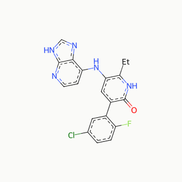 CCc1[nH]c(=O)c(-c2cc(Cl)ccc2F)cc1Nc1ccnc2[nH]cnc12